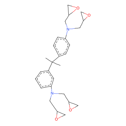 CC(C)(c1ccc(N(CC2CO2)CC2CO2)cc1)c1cccc(N(CC2CO2)CC2CO2)c1